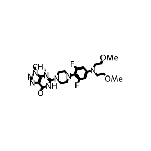 COCCN(CCOC)c1cc(F)c(N2CCN(c3nc4c(nnn4C)c(=O)[nH]3)CC2)c(F)c1